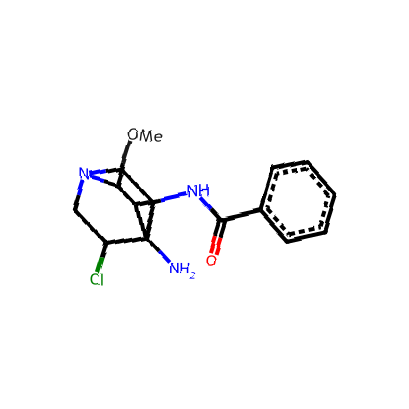 COC1C(NC(=O)c2ccccc2)C2(N)CCN1CC2Cl